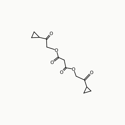 O=C(CC(=O)OCC(=O)C1CC1)OCC(=O)C1CC1